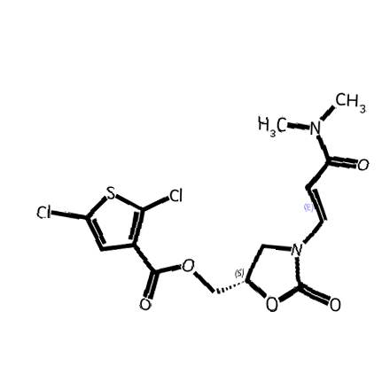 CN(C)C(=O)/C=C/N1C[C@@H](COC(=O)c2cc(Cl)sc2Cl)OC1=O